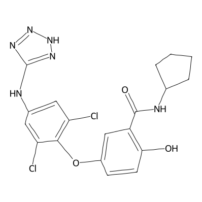 O=C(NC1CCCC1)c1cc(Oc2c(Cl)cc(Nc3nn[nH]n3)cc2Cl)ccc1O